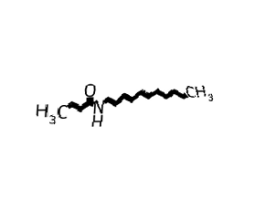 CCCCCCCCCCCNC(=O)CCC